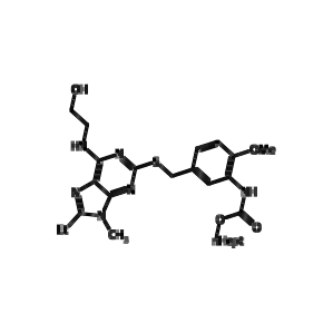 CCCCCCCOC(=O)Nc1cc(CSc2nc(NCCO)c3nc(CC)n(C)c3n2)ccc1OC